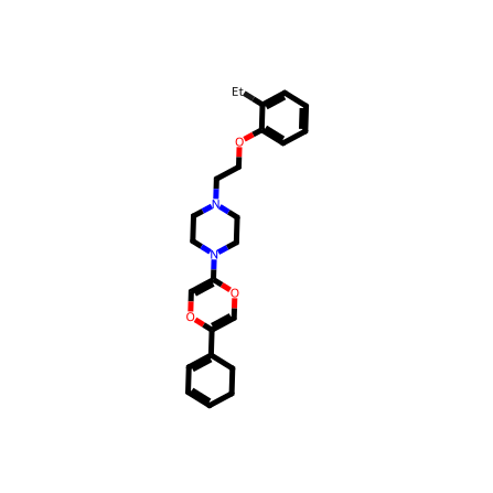 CCc1ccccc1OCCN1CCN(C2=COC(C3=CC=CCC3)=CO2)CC1